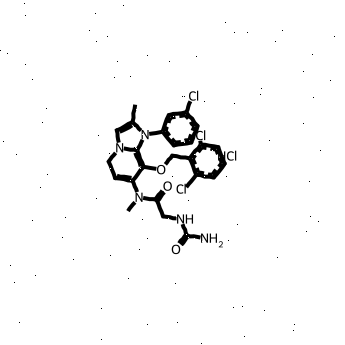 CC1=CN2CC=C(N(C)C(=O)CNC(N)=O)C(OCc3c(Cl)cccc3Cl)=C2N1c1cccc(Cl)c1.Cl